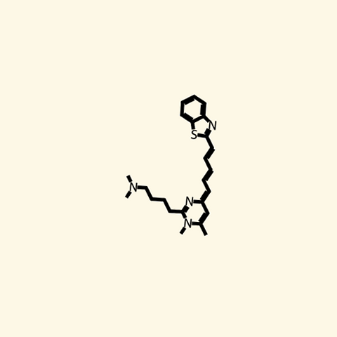 CC1=C/C(=C/C=C/C=C/c2nc3ccccc3s2)N=C(CCCCN(C)C)N1C